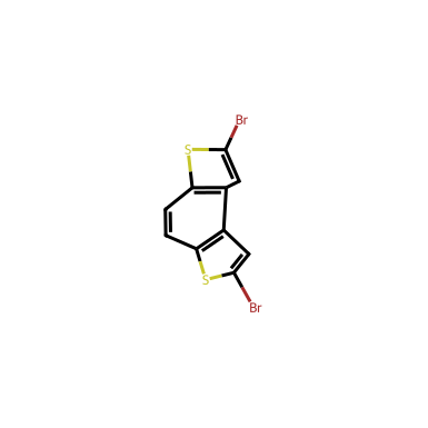 Brc1cc2c(ccc3sc(Br)cc32)s1